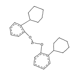 c1ccc(C2CCCCC2)c([O][Zr][O]c2ccccc2C2CCCCC2)c1